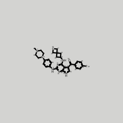 CN1CCN(c2ccc(Nc3nc(NC4CC5(COC5)C4)c4c(C(=O)c5ccc(F)cc5)c[nH]c4n3)cc2)CC1